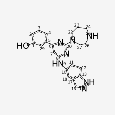 Oc1cccc(-c2cc(Nc3ccc4[nH]ncc4c3)nc(N3CCCNCC3)n2)c1